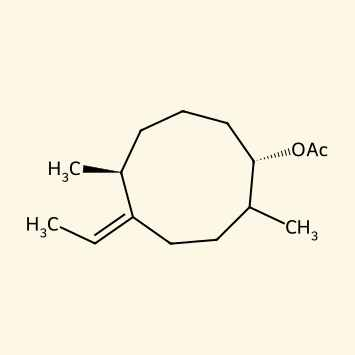 C/C=C1/CCC(C)[C@@H](OC(C)=O)CCC[C@@H]1C